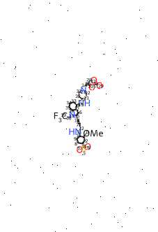 COc1cc(S(C)(=O)=O)ccc1NCC#Cc1cc2c(NC3CCN(C[C@@H]4COC(=O)O4)CC3)cccc2n1CC(F)(F)F